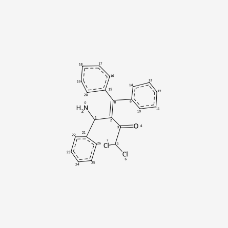 NC(C(C(=O)C(Cl)Cl)=C(c1ccccc1)c1ccccc1)c1ccccc1